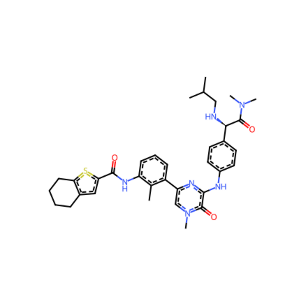 Cc1c(NC(=O)c2cc3c(s2)CCCC3)cccc1-c1cn(C)c(=O)c(Nc2ccc([C@@H](NCC(C)C)C(=O)N(C)C)cc2)n1